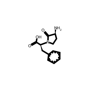 N[C@H]1CCN([C@@H](Cc2ccccc2)C(=O)O)C1=O